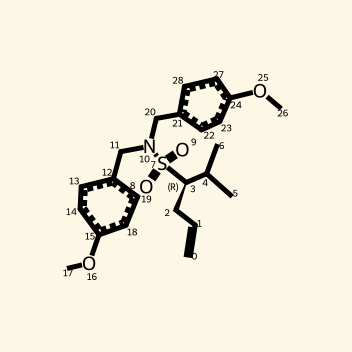 C=CC[C@H](C(C)C)S(=O)(=O)N(Cc1ccc(OC)cc1)Cc1ccc(OC)cc1